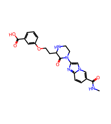 CNC(=O)c1ccc2nc(N3CCNC(CCOc4cccc(C(=O)O)c4)C3=O)cn2c1